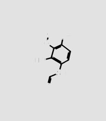 COc1c(O)ccc(N[C]=O)c1O